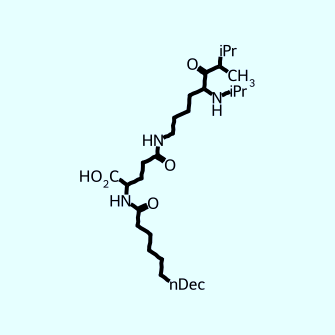 CCCCCCCCCCCCCCCC(=O)NC(CCC(=O)NCCCCC(NC(C)C)C(=O)C(C)C(C)C)C(=O)O